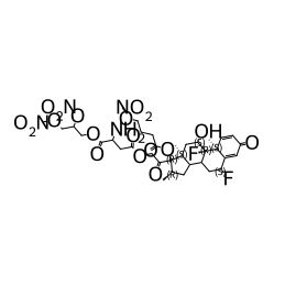 C[C@@H]1CC2C3C[C@H](F)C4=CC(=O)C=C[C@]4(C)[C@@]3(F)[C@@H](O)C[C@]2(C)[C@@]1(OC(=O)CCCO[N+](=O)[O-])C(=O)COC(=O)CC(N)C(=O)OCC(CO[N+](=O)[O-])O[N+](=O)[O-]